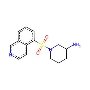 NC1CCCN(S(=O)(=O)c2cccc3cnccc23)C1